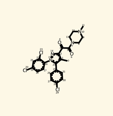 Cc1c(C(=O)C(=O)N2CCN(C)CC2)nn(-c2ccc(Cl)cc2Cl)c1-c1ccc(Cl)cc1